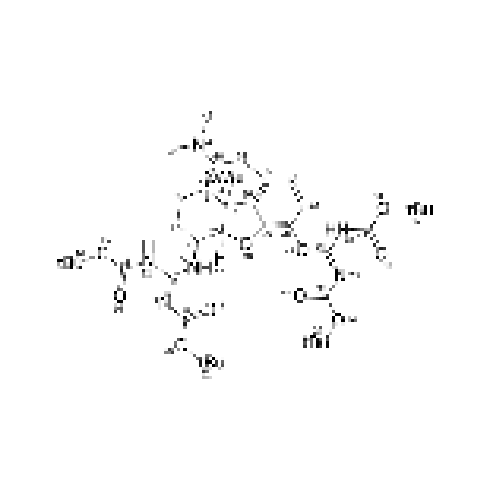 CO[C@@]12CC[C@H](N/C(=N\C(=O)OC(C)(C)C)NC(=O)OC(C)(C)C)[C@@H]3Oc4c(O/C(=N\C(=O)OC(C)(C)C)NC(=O)OC(C)(C)C)ccc(c4C31C)CC2N(C)C